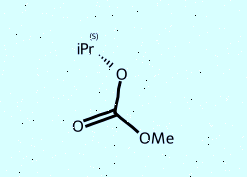 [CH2][C@@H](C)OC(=O)OC